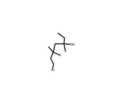 CCC(C)(O)CC(C)(C)CCBr